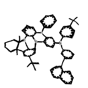 CC(C)(C)c1ccc(N(c2cccc(-c3cccc4ccccc34)c2)c2ccc3c(c2)N(c2ccccc2)c2cccc4c2B3c2cc(C(C)(C)C)cc3c2N4C2(C)CCCCC32C)cc1